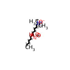 CCCCCCCCCCCC[N+](C)(C)[O-].O.O